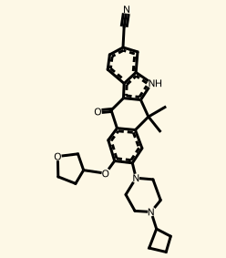 CC1(C)c2cc(N3CCN(C4CCC4)CC3)c(OC3CCOC3)cc2C(=O)c2c1[nH]c1cc(C#N)ccc21